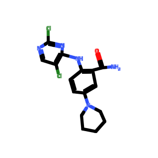 NC(=O)c1cc(N2CCCCC2)ccc1Nc1nc(Cl)ncc1Cl